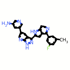 Cc1cc(F)cc(-c2nccc3[nH]c(-c4n[nH]c5ncc(-c6cncc(N)c6)cc45)cc23)c1